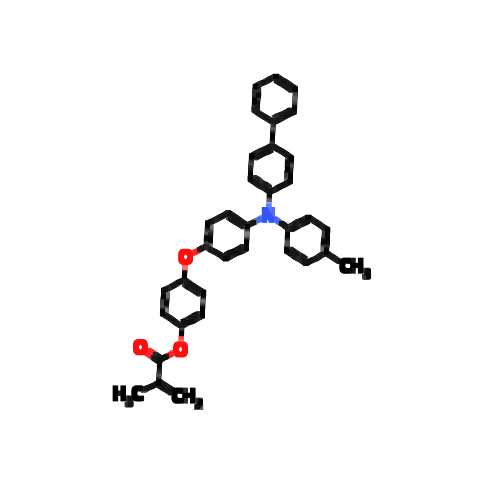 C=C(C)C(=O)Oc1ccc(Oc2ccc(N(c3ccc(C)cc3)c3ccc(-c4ccccc4)cc3)cc2)cc1